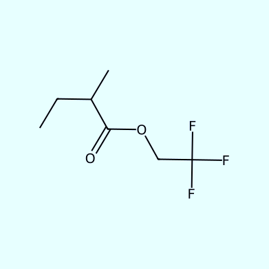 CCC(C)C(=O)OCC(F)(F)F